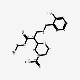 Cc1ccccc1CSCC(C(=O)NCC#N)C1CN(C(N)=O)CCO1